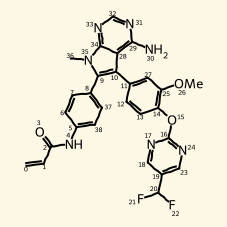 C=CC(=O)Nc1ccc(-c2c(-c3ccc(Oc4ncc(C(F)F)cn4)c(OC)c3)c3c(N)ncnc3n2C)cc1